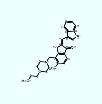 COCCN1CCN(Cc2c(O)ccc3c2OC(=Cc2c[nH]c4ccccc24)C3=O)CC1